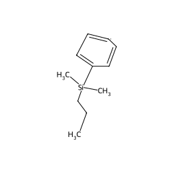 CCC[Si](C)(C)c1cc[c]cc1